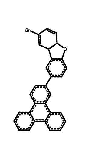 BrC1=CC2c3cc(-c4ccc5c6ccccc6c6ccccc6c5c4)ccc3OC2C=C1